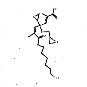 CC(=CC(C=C(C)C(=O)OCCCCCCO)(OCC1CO1)C1CO1)C(=O)O